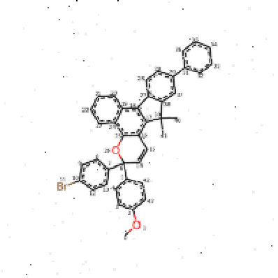 COc1ccc(C2(c3ccc(Br)cc3)C=Cc3c4c(c5ccccc5c3O2)-c2ccc(-c3ccccc3)cc2C4(C)C)cc1